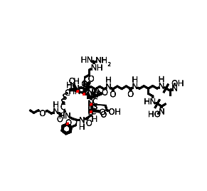 CCCOCCNC(=O)[C@@H]1CSSC[C@@H]2NC(=O)[C@H](CCCCNC(=O)CCCC(=O)NCCC(CCNC(C)(C)/C(C)=N\O)CCNC(C)(C)/C(C)=N\O)NC(=O)CSC[C@H](NC(=O)[C@H](CC(=O)O)NC(=O)CNC(=O)[C@H](CCCNC(=N)N)NC2=O)C(=O)N[C@@H](Cc2ccccc2)C(=O)N1